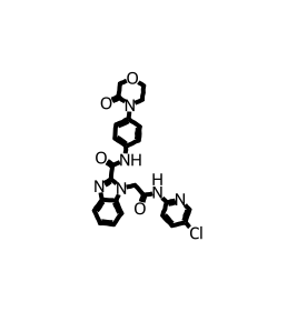 O=C(Cn1c(C(=O)Nc2ccc(N3CCOCC3=O)cc2)nc2ccccc21)Nc1ccc(Cl)cn1